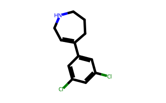 Clc1cc(Cl)cc(C2=CCNCCC2)c1